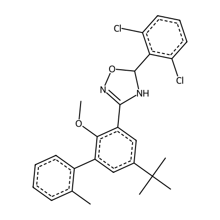 COc1c(C2=NOC(c3c(Cl)cccc3Cl)N2)cc(C(C)(C)C)cc1-c1ccccc1C